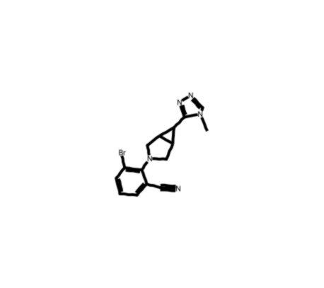 Cn1cnnc1C1C2CN(c3c(Br)cccc3C#N)CC21